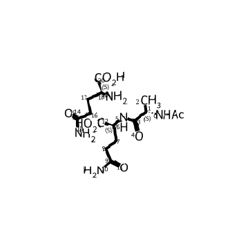 CC(=O)N[C@@H](C)C(=O)N[C@@H](CCC(N)=O)C(=O)O.NC(=O)CC[C@H](N)C(=O)O